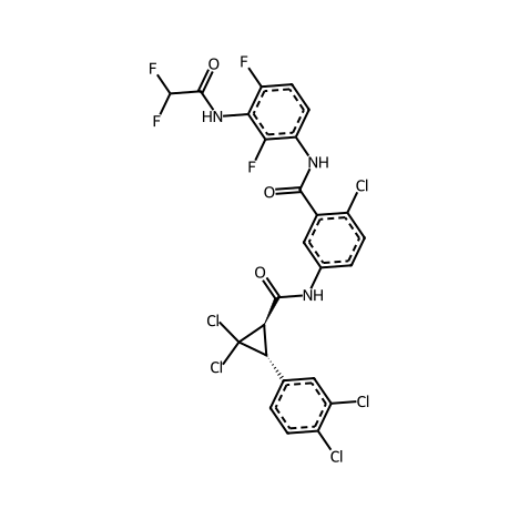 O=C(Nc1ccc(F)c(NC(=O)C(F)F)c1F)c1cc(NC(=O)[C@H]2[C@H](c3ccc(Cl)c(Cl)c3)C2(Cl)Cl)ccc1Cl